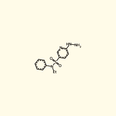 CCN(c1ccccc1)S(=O)(=O)c1ccc(NN)nc1